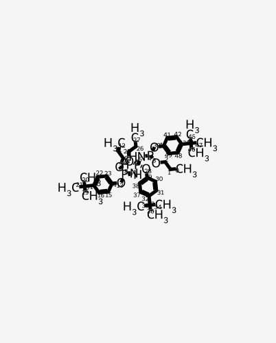 CCCOP(N[PH](N=[PH](OCCC)Oc1ccc(C(C)(C)C)cc1)(OCCC)Oc1ccc(C(C)(C)C)cc1)Oc1ccc(C(C)(C)C)cc1